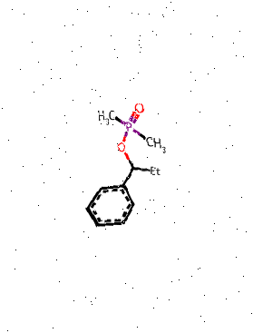 CCC(OP(C)(C)=O)c1ccccc1